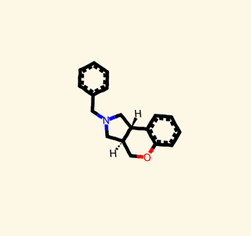 c1ccc(CN2C[C@@H]3COc4ccccc4[C@H]3C2)cc1